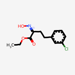 CCOC(=O)/C(CCc1cccc(Cl)c1)=N\O